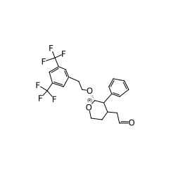 O=CCC1CCO[C@H](OCCc2cc(C(F)(F)F)cc(C(F)(F)F)c2)C1c1ccccc1